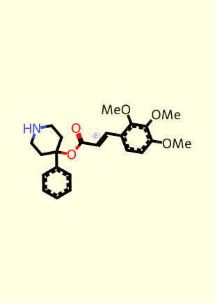 COc1ccc(/C=C/C(=O)OC2(c3ccccc3)CCNCC2)c(OC)c1OC